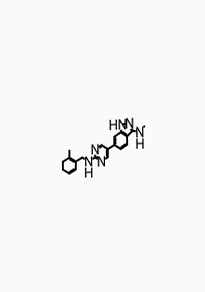 CNc1n[nH]c2cc(-c3cnc(NCC4=C(C)CCC=C4)nc3)ccc12